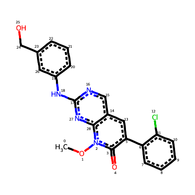 COn1c(=O)c(-c2ccccc2Cl)cc2cnc(Nc3cccc(CO)c3)nc21